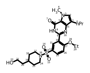 CCCc1cn(C)c2c(=O)[nH]c(-c3cc(S(=O)(=O)N4CCC(CCO)CC4)ccc3OCC)nc12